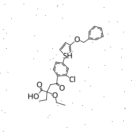 CCOC(CC)(CC(=O)c1ccc([SH]2C=CC(OCc3ccccc3)=C2)cc1Cl)C(=O)O